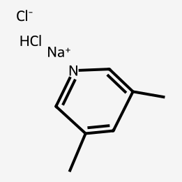 Cc1cncc(C)c1.Cl.[Cl-].[Na+]